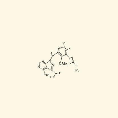 COc1c(C(C)n2nc(C(F)F)c3c(N)ncnc32)cc(Cl)c(C)c1C1CN(CC(F)(F)F)C1